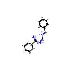 N=C(/N=C\N=C\c1ccccc1)C1C=CC=CC1